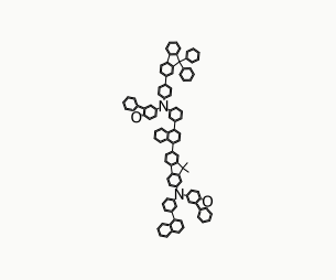 CC1(C)c2cc(-c3ccc(-c4cccc(N(c5ccc(-c6ccc7c(c6)C(c6ccccc6)(c6ccccc6)c6ccccc6-7)cc5)c5ccc6oc7ccccc7c6c5)c4)c4ccccc34)ccc2-c2ccc(N(c3cccc(-c4cccc5ccccc45)c3)c3ccc4oc5ccccc5c4c3)cc21